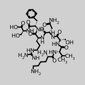 CC(C)[C@H](NC(=O)[C@@H](N)CCCCN)C(=O)N[C@@H](CO)C(=O)N[C@@H](CC(N)=O)C(=O)N[C@@H](CCCNC(=N)N)C(=O)N[C@@H](Cc1ccccc1)C(=O)N[C@@H](CO)C(=O)O